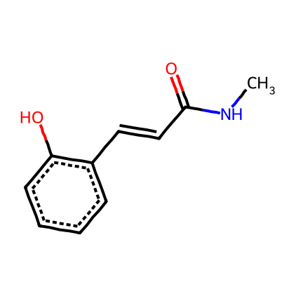 CNC(=O)C=Cc1ccccc1O